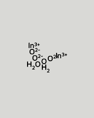 O.O.[In+3].[In+3].[O-2].[O-2].[O-2]